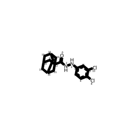 O=C(NNc1ccc(Cl)c(Cl)c1)C12CC3CC(CC(C3)C1)C2